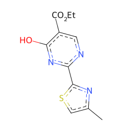 CCOC(=O)c1cnc(-c2nc(C)cs2)nc1O